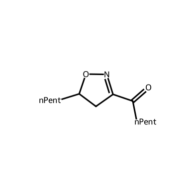 CCCCCC(=O)C1=NOC(CCCCC)C1